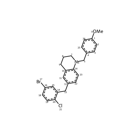 COc1ccc(CN2CCCc3cc(Cc4cc(Br)ccc4Cl)ccc32)cc1